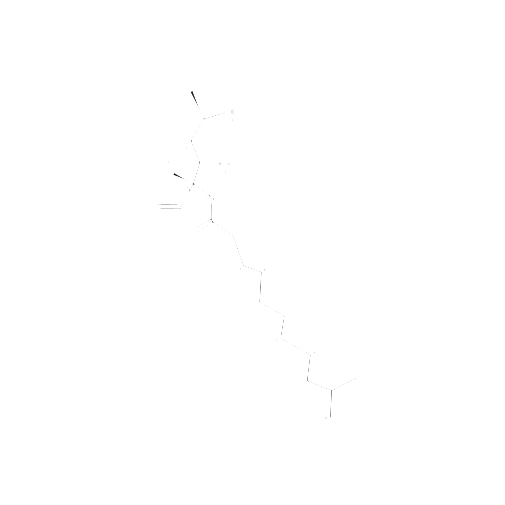 CC(C)CCCCCCCCC(=O)N[C@](O)([C]=O)[C@@H](O)[C@H](O)[C@@H](C)O